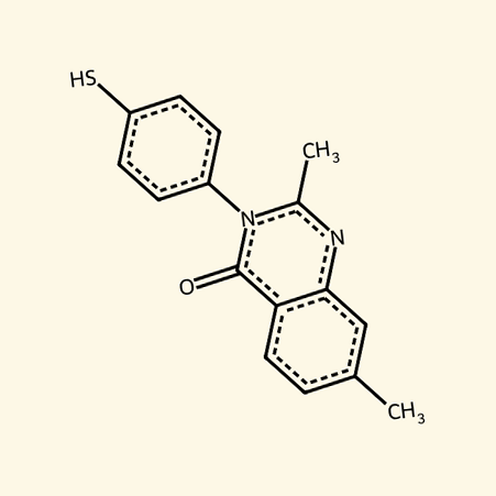 Cc1ccc2c(=O)n(-c3ccc(S)cc3)c(C)nc2c1